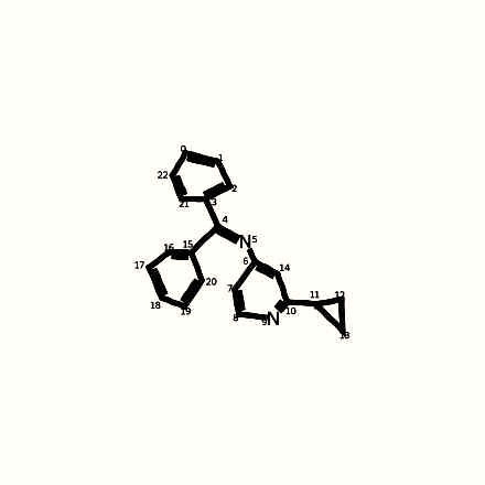 c1ccc(C(=Nc2ccnc([C]3CC3)c2)c2ccccc2)cc1